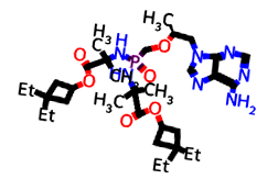 CCC1(CC)CC(OC(=O)C(C)(C)NP(=O)(CO[C@H](C)Cn2cnc3c(N)ncnc32)NC(C)(C)C(=O)OC2CC(CC)(CC)C2)C1